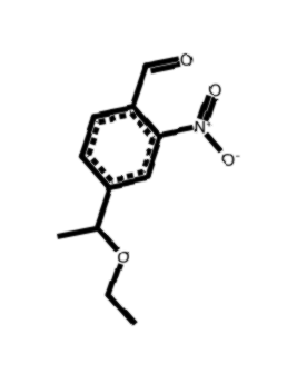 CCOC(C)c1ccc(C=O)c([N+](=O)[O-])c1